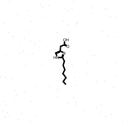 CCCCCCCc1nc(CC(=O)O)c[nH]1